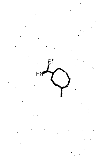 CCC(=N)C1CCCCC(C)CC1